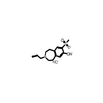 C=CCN1CCc2cc(O)c(S(C)(=O)=O)cc2CC1.Cl